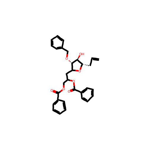 C=CC[C@@H]1OC(CC(COC(=O)c2ccccc2)OC(=O)c2ccccc2)[C@H](OCc2ccccc2)[C@H]1O